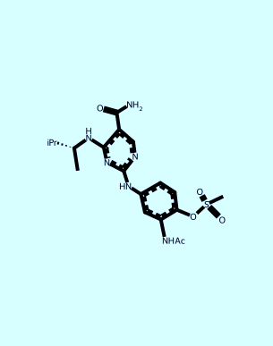 CC(=O)Nc1cc(Nc2ncc(C(N)=O)c(N[C@H](C)C(C)C)n2)ccc1OS(C)(=O)=O